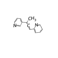 CC(=C=Cc1ccccn1)c1cccnc1